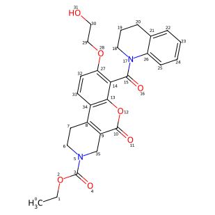 CCOC(=O)N1CCc2c(c(=O)oc3c(C(=O)N4CCCc5ccccc54)c(OCCO)ccc23)C1